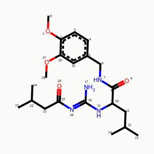 COc1ccc(CNC(=O)C(CC(C)C)NC(N)=NC(=O)CC(C)C)cc1OC